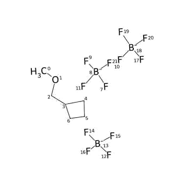 COCC1CCC1.F[B-](F)(F)F.F[B-](F)(F)F.F[B-](F)(F)F